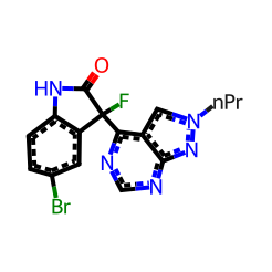 CCCn1cc2c(C3(F)C(=O)Nc4ccc(Br)cc43)ncnc2n1